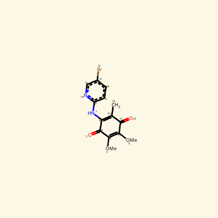 COC1=C(OC)C(=O)C(Nc2ccc(Br)cn2)=C(C)C1=O